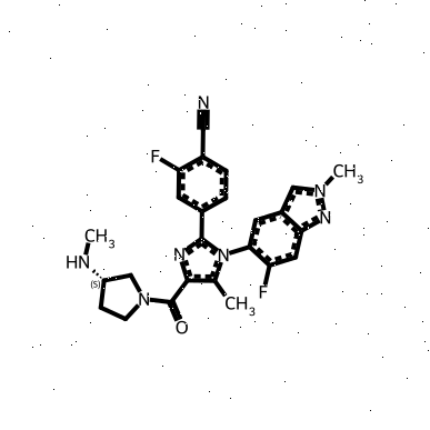 CN[C@H]1CCN(C(=O)c2nc(-c3ccc(C#N)c(F)c3)n(-c3cc4cn(C)nc4cc3F)c2C)C1